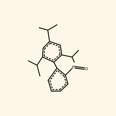 CC(C)c1cc(C(C)C)c(-c2ccccc2P=O)c(C(C)C)c1